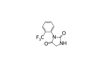 O=C1CNC(=O)N1c1ccccc1C(F)(F)F